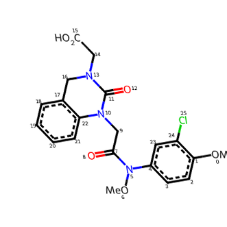 COc1ccc(N(OC)C(=O)CN2C(=O)N(CC(=O)O)Cc3ccccc32)cc1Cl